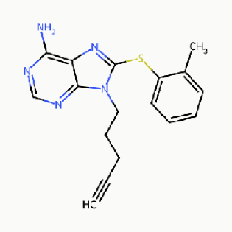 C#CCCCn1c(Sc2ccccc2C)nc2c(N)ncnc21